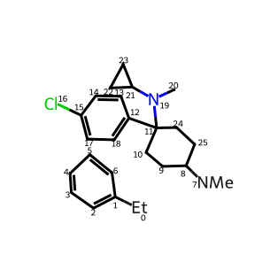 CCc1ccccc1.CNC1CCC(c2ccc(Cl)cc2)(N(C)C2CC2)CC1